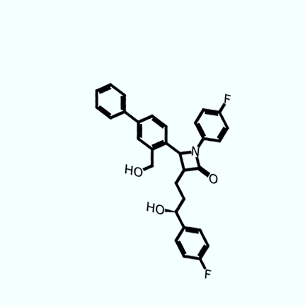 O=C1C(CC[C@H](O)c2ccc(F)cc2)C(c2ccc(-c3ccccc3)cc2CO)N1c1ccc(F)cc1